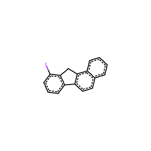 Ic1cccc2c1Cc1c-2ccc2ccccc12